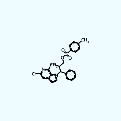 Cc1ccc(S(=O)(=O)OCC(O)C(c2ccccc2)n2ccc3cc(Cl)nc(C)c32)cc1